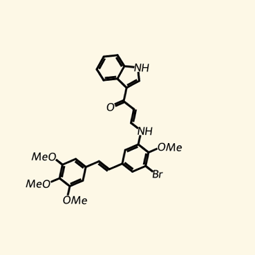 COc1cc(C=Cc2cc(Br)c(OC)c(NC=CC(=O)c3c[nH]c4ccccc34)c2)cc(OC)c1OC